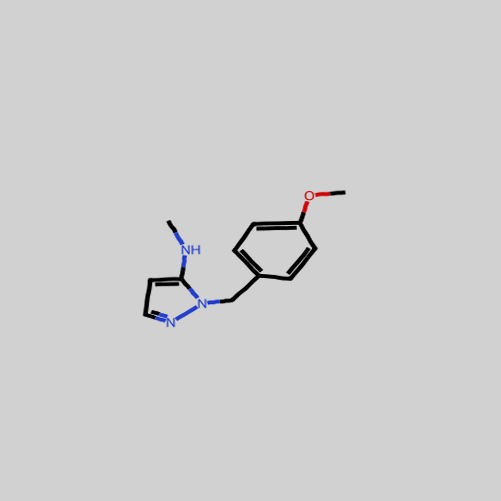 CNc1ccnn1Cc1ccc(OC)cc1